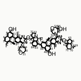 C#Cc1c(F)ccc2cc(O)cc(-c3ccc4c(N5CCCOCC5)nc(OCC56CCCN5Cc5c(-c7cc8cc(O)cc(-c9ccc%10c(N%11CCOCC(C)(O)C%11)nc(OCC%11%12CCCC%11N(C)CCC%12)nc%10c9F)c8c(C#C)c7F)cccc56)nc4c3F)c12